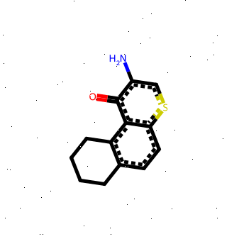 Nc1csc2ccc3c(c2c1=O)CCCC3